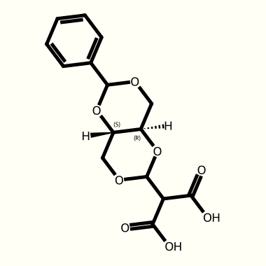 O=C(O)C(C(=O)O)C1OC[C@@H]2OC(c3ccccc3)OC[C@H]2O1